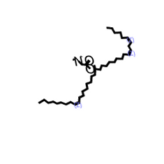 CCCCC/C=C\C/C=C\CCCCCCCCC(C)(CCCCCCCC/C=C\CCCCCCCC)OC(=O)CN(C)C